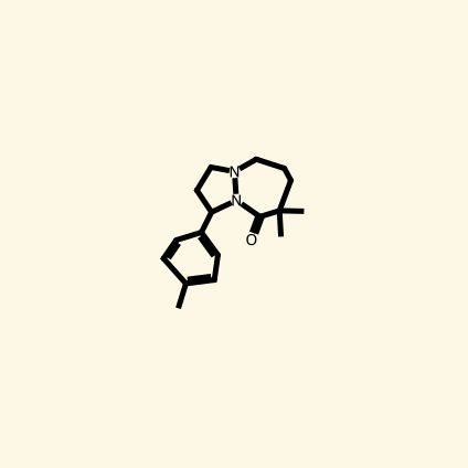 Cc1ccc(C2CCN3CCCC(C)(C)C(=O)N23)cc1